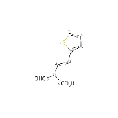 O=CC(C=Cc1cccs1)C(=O)O